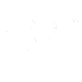 CC(C)(N)CNC(=O)c1cnn2ccc(N3CCCC3c3cc(F)ccc3F)nc12